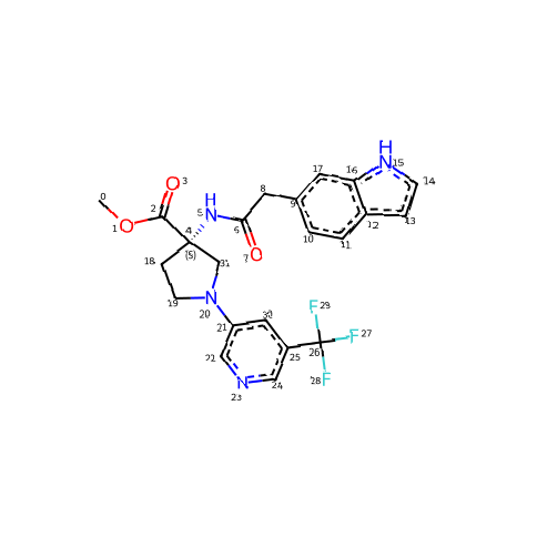 COC(=O)[C@]1(NC(=O)Cc2ccc3cc[nH]c3c2)CCN(c2cncc(C(F)(F)F)c2)C1